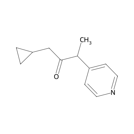 CC(C(=O)CC1CC1)c1ccncc1